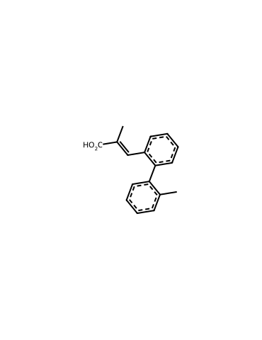 CC(=Cc1ccccc1-c1ccccc1C)C(=O)O